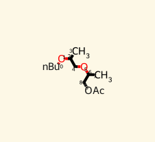 CCCCOC(C)COC(C)COC(C)=O